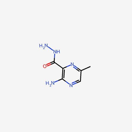 Cc1cnc(N)c(C(=O)NN)n1